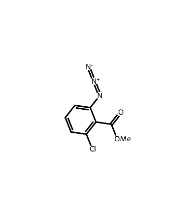 COC(=O)c1c(Cl)cccc1N=[N+]=[N-]